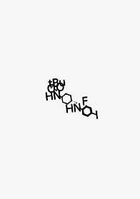 CC(C)(C)OC(=O)N[C@H]1CC[C@H](CNc2ccc(I)cc2F)CC1